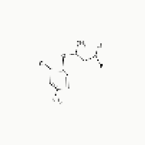 CCN(CC)CC(C)Oc1ccc(N)cc1Cl